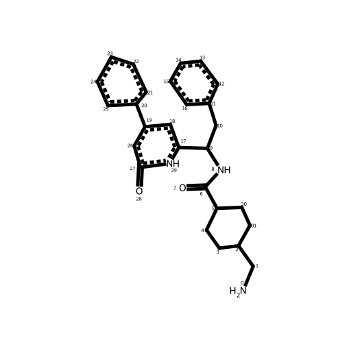 NCC1CCC(C(=O)NC(Cc2ccccc2)c2cc(-c3ccccc3)cc(=O)[nH]2)CC1